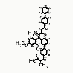 COc1cccc(COc2cc(CC(C)C(=O)O)ccc2-c2cccc(CN(C)C(=O)CCc3ccc(-c4ccccc4)cc3)c2)c1